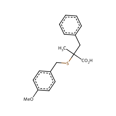 COc1ccc(CSC(C)(Cc2ccccc2)C(=O)O)cc1